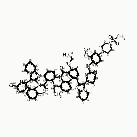 CCOc1ccc(-c2nc3ccccn3c2-c2ccnc(Nc3ccc(N4CCN(S(C)(=O)=O)CC4)cc3OC)n2)cc1C(=O)N(c1cccc(C(=O)N(c2nc3ccccn3c2-c2ccnc(Cl)n2)c2c(F)cccc2F)c1OCC)c1c(F)cccc1F